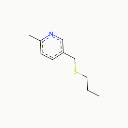 CCCSCc1ccc(C)nc1